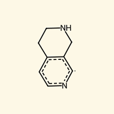 [c]1nccc2c1CNCC2